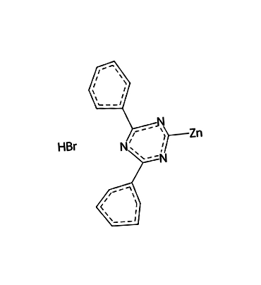 Br.[Zn][c]1nc(-c2ccccc2)nc(-c2ccccc2)n1